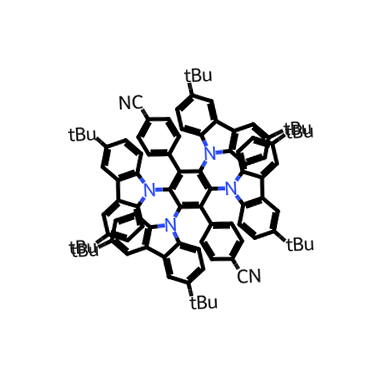 CC(C)(C)c1ccc2c(c1)c1cc(C(C)(C)C)ccc1n2-c1c(-c2ccc(C#N)cc2)c(-n2c3ccc(C(C)(C)C)cc3c3cc(C(C)(C)C)ccc32)c(-n2c3ccc(C(C)(C)C)cc3c3cc(C(C)(C)C)ccc32)c(-c2ccc(C#N)cc2)c1-n1c2ccc(C(C)(C)C)cc2c2cc(C(C)(C)C)ccc21